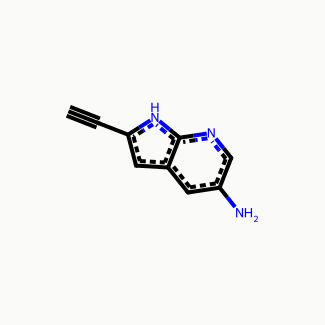 C#Cc1cc2cc(N)cnc2[nH]1